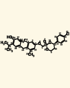 Cc1cc(OC[P@]2(=O)OCC[C@H](c3ccc(Cl)cc3)O2)cc(C)c1Cc1ccc(O)c(C(C)C)c1